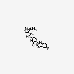 Cc1nc(NC(=O)c2ccnn2C)ccc1-c1ccc2cc(F)ccc2n1